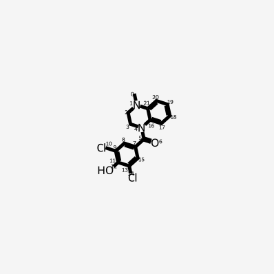 CN1CCN(C(=O)c2cc(Cl)c(O)c(Cl)c2)c2ccccc21